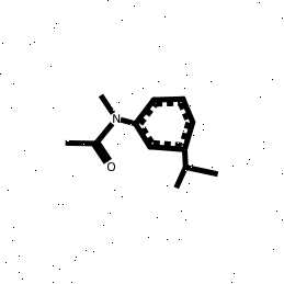 CC(=O)N(C)c1cccc(C(C)C)c1